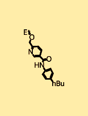 CCCCc1ccc(NC(=O)c2ccc(COCC)nc2)cc1